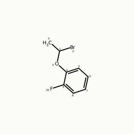 CC(Br)Oc1ccccc1F